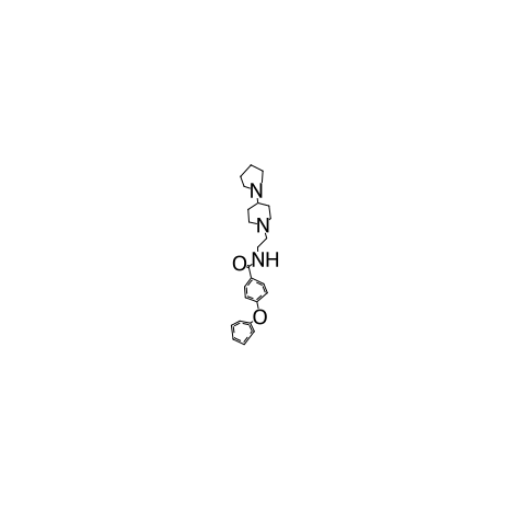 O=C(NCCN1CCC(N2CCCCC2)CC1)c1ccc(Oc2ccccc2)cc1